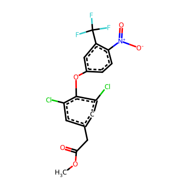 COC(=O)Cc1cc(Cl)c(Oc2ccc([N+](=O)[O-])c(C(F)(F)F)c2)c(Cl)c1